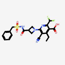 CCc1c(C#N)c(N2CC(C(=O)NS(=O)(=O)Cc3ccccc3)C2)nc(C(F)F)c1C(=O)O